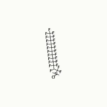 C[Si](C)(Cl)C(F)(F)C(F)C(F)(F)C(F)(F)C(F)(F)C(F)(F)C(F)(F)C(F)(F)C(F)(F)C(F)(F)C(F)(F)C(F)(F)F